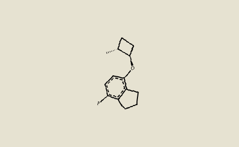 C[C@@H]1CC[C@H]1Oc1ccc(F)c2c1CCC2